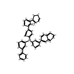 C1=Cc2oc3c(-c4ccc(N(c5cccc(-c6ccccc6)c5)c5cccc(-c6ccc7ccccc7c6)c5)cc4)cccc3c2CC1